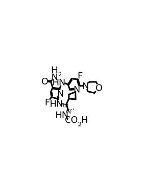 C[C@H](NC(=O)O)[C@@H](Nc1nc(Nc2cnc(N3CCOCC3)c(F)c2)c(C(N)=O)cc1F)C1CCC1